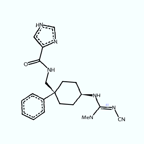 CN/C(=N\C#N)N[C@H]1CC[C@](CNC(=O)c2c[nH]cn2)(c2ccccc2)CC1